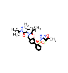 CCCC(=O)N(Cc1ccc(-c2ccccc2S(=O)(=O)Nc2noc(C)c2F)cc1)[C@H](C(=O)NC(C)C)C(C)C